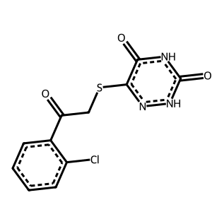 O=C(CSc1n[nH]c(=O)[nH]c1=O)c1ccccc1Cl